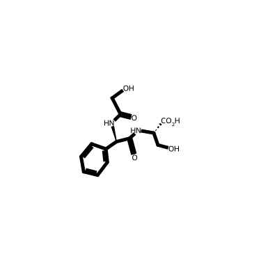 O=C(CO)N[C@@H](C(=O)N[C@@H](CO)C(=O)O)c1ccccc1